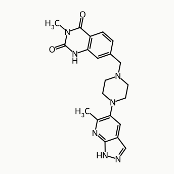 Cc1nc2[nH]ncc2cc1N1CCN(Cc2ccc3c(=O)n(C)c(=O)[nH]c3c2)CC1